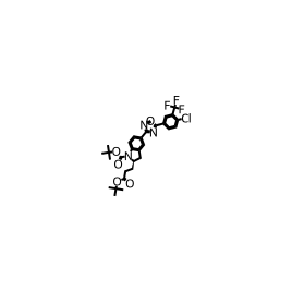 CC(C)(C)OC(=O)CC[C@@H]1Cc2cc(-c3noc(-c4ccc(Cl)c(C(F)(F)F)c4)n3)ccc2N1C(=O)OC(C)(C)C